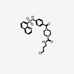 O=C(NCCCCl)N1CCN(C(=O)c2ccc(NS(=O)(=O)c3cccc4cccnc34)cc2)CC1